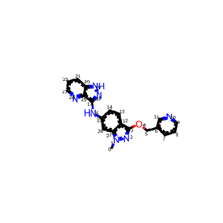 Cn1nc(OCc2cccnc2)c2ccc(Nc3n[nH]c4cccnc34)cc21